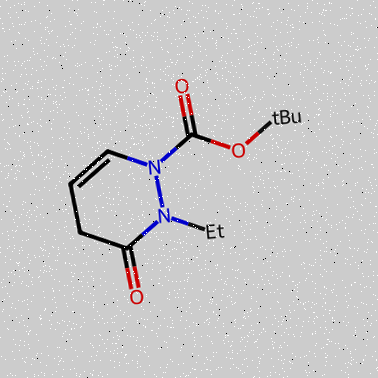 CCN1C(=O)CC=CN1C(=O)OC(C)(C)C